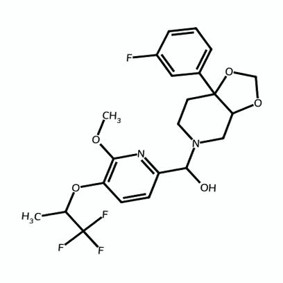 COc1nc(C(O)N2CCC3(c4cccc(F)c4)OCOC3C2)ccc1OC(C)C(F)(F)F